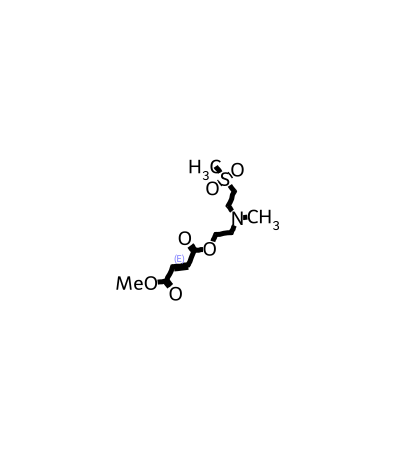 COC(=O)/C=C/C(=O)OCCN(C)CCS(C)(=O)=O